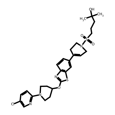 CC(C)(O)CCCS(=O)(=O)N1CC=C(c2ccc3nc(OC4CCN(c5ccc(Cl)cn5)CC4)sc3c2)CC1